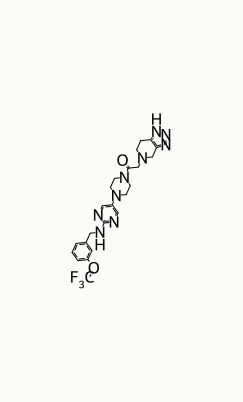 O=C(CN1CCc2[nH]nnc2C1)N1CCN(c2cnc(NCc3cccc(OC(F)(F)F)c3)nc2)CC1